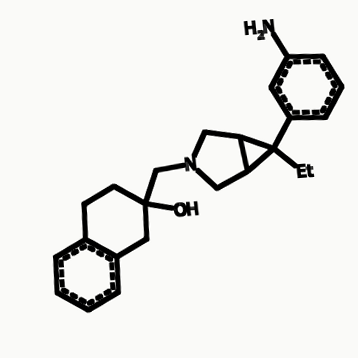 CCC1(c2cccc(N)c2)C2CN(CC3(O)CCc4ccccc4C3)CC21